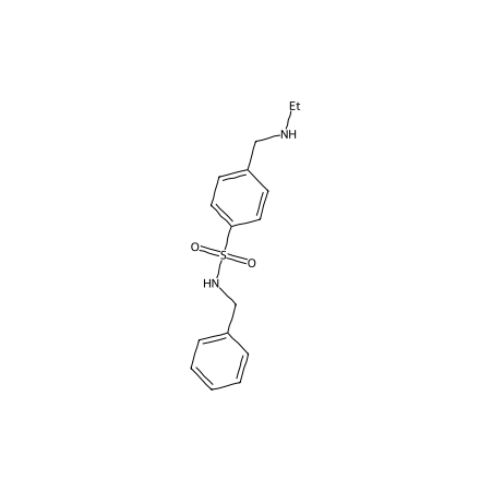 CCNCc1ccc(S(=O)(=O)NCc2ccccc2)cc1